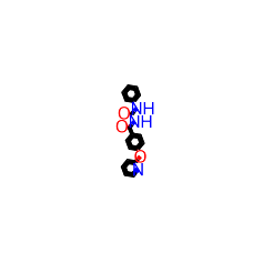 O=C(NC(=O)c1ccc(Oc2ccccn2)cc1)Nc1ccccc1